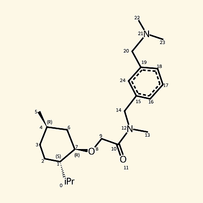 CC(C)[C@@H]1CC[C@@H](C)C[C@H]1OCC(=O)N(C)Cc1cccc(CN(C)C)c1